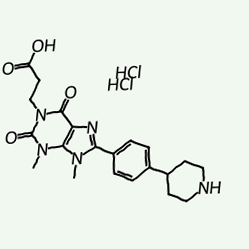 Cl.Cl.Cn1c(-c2ccc(C3CCNCC3)cc2)nc2c(=O)n(CCC(=O)O)c(=O)n(C)c21